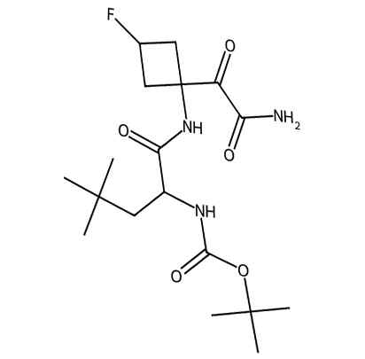 CC(C)(C)CC(NC(=O)OC(C)(C)C)C(=O)NC1(C(=O)C(N)=O)CC(F)C1